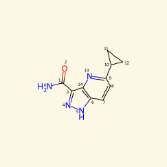 NC(=O)c1n[nH]c2ccc(C3CC3)nc12